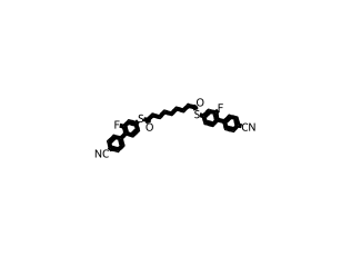 N#Cc1ccc(-c2ccc(SC(=O)CCCCCCCC(=O)Sc3ccc(-c4ccc(C#N)cc4)c(F)c3)cc2F)cc1